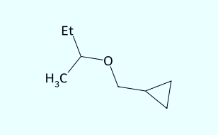 CCC(C)OCC1CC1